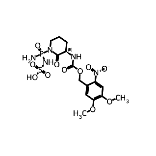 COc1cc(COC(=O)N[C@@H]2CCCN(P(N)(=O)NS(=O)(=O)O)C2=O)c([N+](=O)[O-])cc1OC